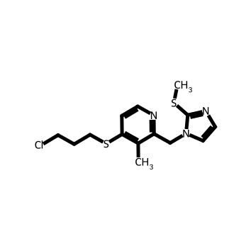 CSc1nccn1Cc1nccc(SCCCCl)c1C